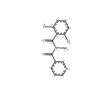 NN(C(=O)c1cccnc1)C(=O)c1c(Cl)cccc1Cl